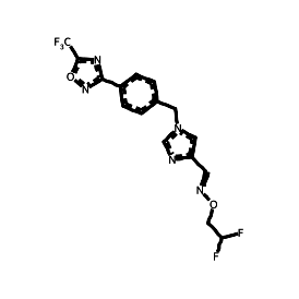 FC(F)CO/N=C/c1cn(Cc2ccc(-c3noc(C(F)(F)F)n3)cc2)cn1